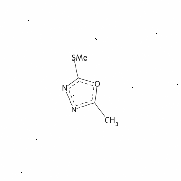 [CH2]Sc1nnc(C)o1